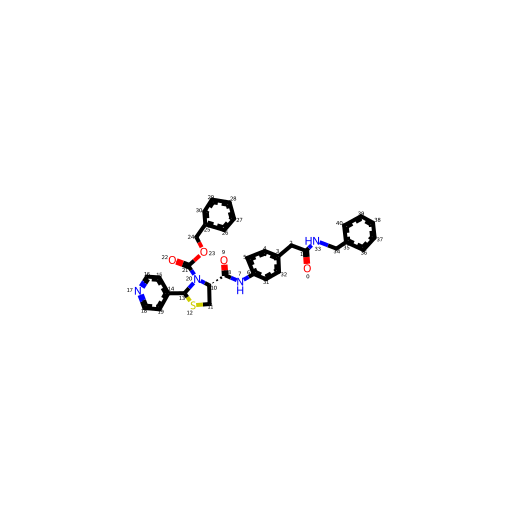 O=C(Cc1ccc(NC(=O)[C@@H]2CSC(c3ccncc3)N2C(=O)OCc2ccccc2)cc1)NCc1ccccc1